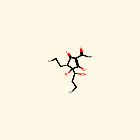 CC(C)CC[C@H](O)C1(O)C(O)=C(C(=O)C(C)C)C(=O)[C@@H]1CCC(C)C